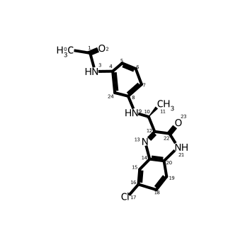 CC(=O)Nc1cccc(N[C@@H](C)c2nc3cc(Cl)ccc3[nH]c2=O)c1